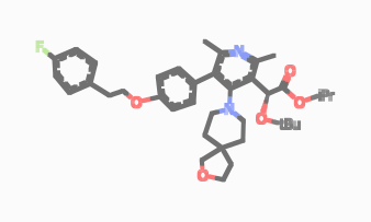 Cc1nc(C)c([C@H](OC(C)(C)C)C(=O)OC(C)C)c(N2CCC3(CCOC3)CC2)c1-c1ccc(OCCc2ccc(F)cc2)cc1